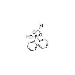 CCC1OP(O)(c2ccccc2)(c2ccccc2)O1